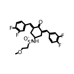 COCC[S+]([O-])NC1C/C(=C\c2ccc(F)c(F)c2)C(=O)/C(=C/c2ccc(F)c(F)c2)C1